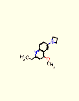 CCc1cc(OC)c2cc(N3CCC3)ccc2n1